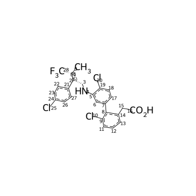 C[C@H]([C@H](CNc1cc(-c2c(Cl)cccc2CC(=O)O)ccc1Cl)c1ccc(Cl)cc1)C(F)(F)F